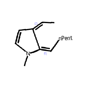 C/C=c1/ccn(C)/c1=C/CCCCC